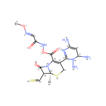 CCON=CC(=O)NOC(=O)C1=C(C2=NC(N)=CC(N)N2N)CS[C@H]2C(C=S)C(=O)N12